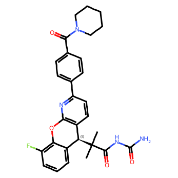 CC(C)(C(=O)NC(N)=O)[C@@H]1c2ccc(-c3ccc(C(=O)N4CCCCC4)cc3)nc2Oc2c(F)cccc21